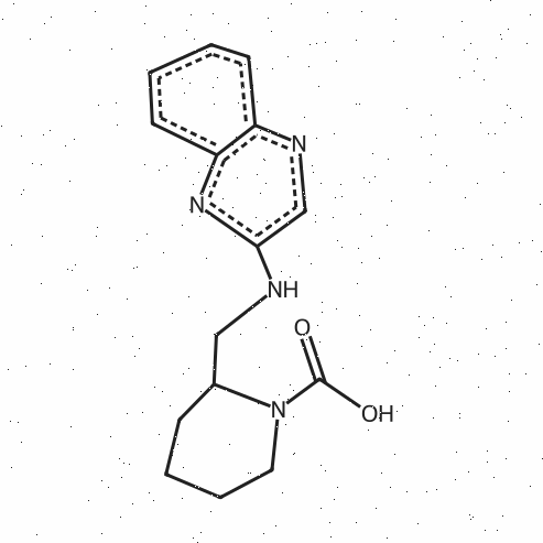 O=C(O)N1CCCCC1CNc1cnc2ccccc2n1